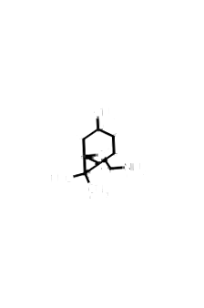 CC1CCC2C(C)(C)C2(O[CH]N)C1